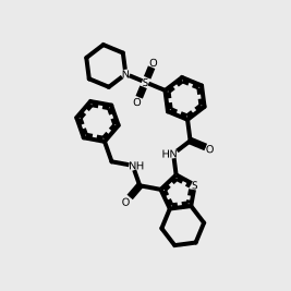 O=C(Nc1sc2c(c1C(=O)NCc1ccccc1)CCCC2)c1cccc(S(=O)(=O)N2CCCCC2)c1